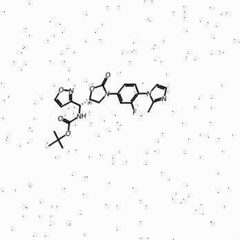 Cc1nccn1-c1ccc(N2C[C@H](C(NC(=O)OC(C)(C)C)c3ccon3)OC2=O)cc1F